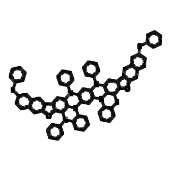 c1ccc(Sc2ccc3cc4oc5c6c7c(cc5c4cc3c2)N(c2ccccc2)c2cc3c(cc2B7c2ccccc2S6)B2c4ccccc4N(c4ccccc4)c4c2c(cc2c4oc4cc5ccc(Sc6ccccc6)cc5cc42)N3c2ccccc2)cc1